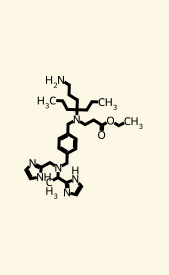 CCCC(CCC)(CCCN)N(CCC(=O)OCC)Cc1ccc(CN(Cc2ncc[nH]2)C(C)c2ncc[nH]2)cc1